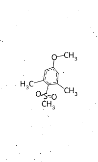 COc1cc(C)c(S(C)(=O)=O)c(C)c1